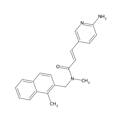 Cc1c(CN(C)C(=O)/C=C/c2ccc(N)nc2)ccc2ccccc12